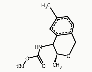 Cc1ccc2c(c1)C(NC(=O)OC(C)(C)C)[C@H](C)OC2